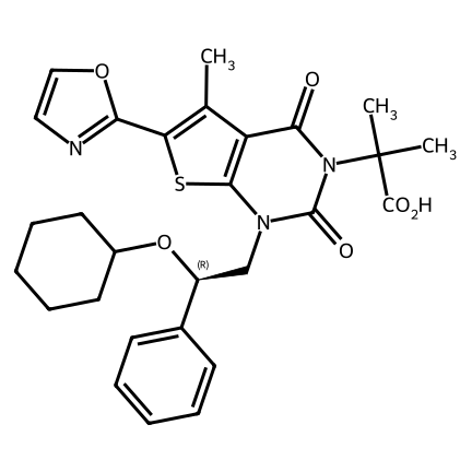 Cc1c(-c2ncco2)sc2c1c(=O)n(C(C)(C)C(=O)O)c(=O)n2C[C@H](OC1CCCCC1)c1ccccc1